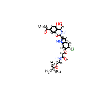 COC(=O)c1ccc(C(CO)NC(=O)c2cc3cc(Cl)c(OCC(=O)NCCO[Si](C)(C)C(C)(C)C)cc3[nH]2)cc1